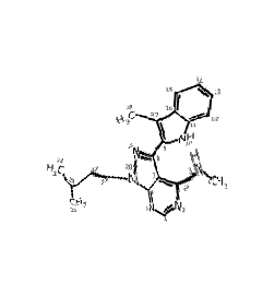 CNc1ncnc2c1c(-c1[nH]c3ccccc3c1C)nn2CCC(C)C